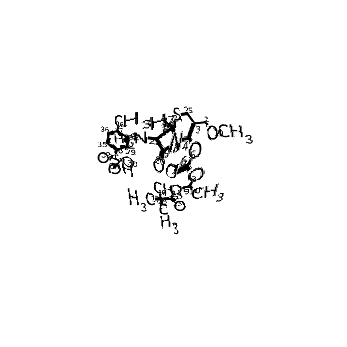 COCC1=C(OC(=O)OC(C)OC(=O)C(C)(C)C)N2C(=O)C(N)[C@@H]2SC1.Cc1ccc(S(=O)(=O)O)cc1